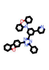 c1ccc(-c2nc(-c3cc(-c4cccnc4)cc(N4c5ccccc5Oc5ccccc54)c3)nc(-c3ccc4c(c3)oc3ccccc34)n2)cc1